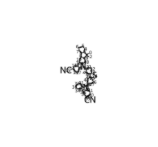 CC1(C)c2ccccc2-c2cc3c4cc(C#N)ccc4n(-c4ccc5sc6ccc(-n7c8ccccc8c8cc(C#N)ccc87)cc6c5c4)c3cc21